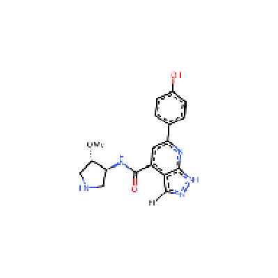 CCc1n[nH]c2nc(-c3ccc(O)cc3)cc(C(=O)N[C@H]3CNC[C@@H]3OC)c12